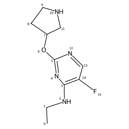 CCNc1nc(OC2CCNC2)ncc1F